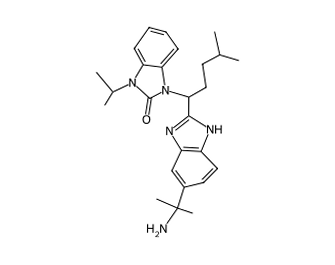 CC(C)CCC(c1nc2cc(C(C)(C)N)ccc2[nH]1)n1c(=O)n(C(C)C)c2ccccc21